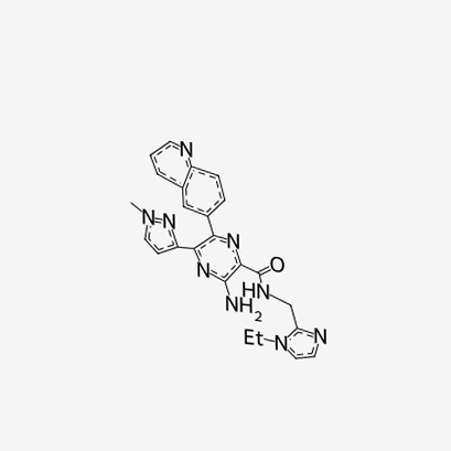 CCn1ccnc1CNC(=O)c1nc(-c2ccc3ncccc3c2)c(-c2ccn(C)n2)nc1N